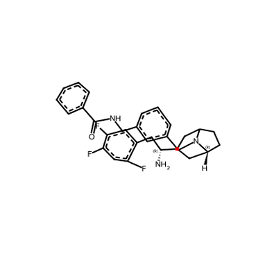 N[C@H](Cc1cc(F)c(F)cc1F)C1CC2CC[C@H](C1)N2Cc1cccc(CNC(=O)c2ccccc2)c1